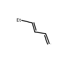 [CH]=CC=CCC